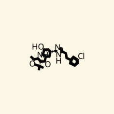 CC(=O)C(=N)[C@H](C(=O)C1C[C@H](O)C[C@@H](c2ncc(CCc3cccc(Cl)c3)[nH]2)C1)C(C)(C)C